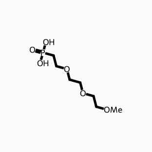 COCCOCCOCCP(=O)(O)O